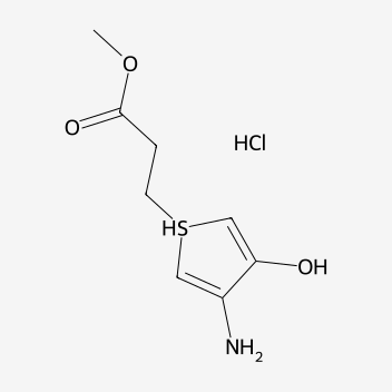 COC(=O)CC[SH]1C=C(N)C(O)=C1.Cl